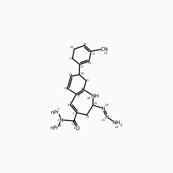 CCCN(CCC)C(=O)C1=CC2=C(CC(C3=CC(C#N)=CCC3)C=C2)NC(N=NN)C1